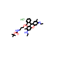 CC/N=c1\cc2oc3cc(NCC)c(C)cc3c(-c3ccccc3C(=O)OCCCNC(=O)OC(C)(C)C)c-2cc1C.Cl